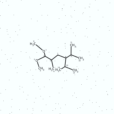 COC(OC)C(C)CC(C(C)C)C(C)C